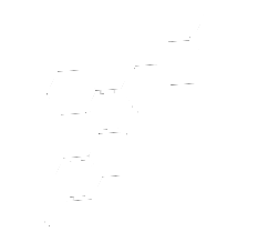 CC(=O)N1CCCC(Nc2nnc(-c3ccc(C#N)cc3O)c3c2CCCC3)C1